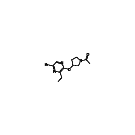 CCc1nc(Br)cnc1OC1CCN(C(C)=O)C1